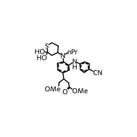 CCCN(c1ccc(C(COC)CC(=O)OC)cc1Nc1ccc(C#N)cc1)C1CCSC(O)(O)C1